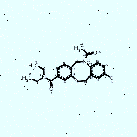 CCN(CC)C(=O)c1ccc2c(c1)CCc1cc(Cl)ccc1N(C(C)=O)C2